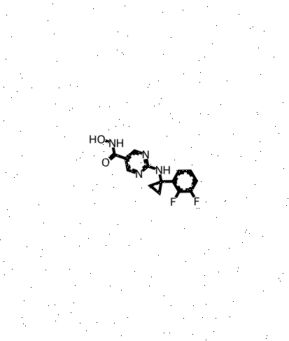 O=C(NO)c1cnc(NC2(c3cccc(F)c3F)CC2)nc1